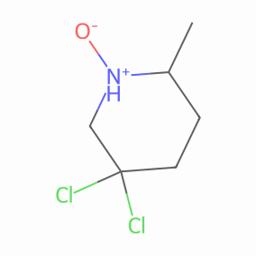 CC1CCC(Cl)(Cl)C[NH+]1[O-]